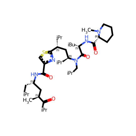 CCC(C)[C@H](NC(=O)[C@H]1CCCCN1C)C(=O)N(CC(C)C)[C@H](C[C@H](c1nc(C(=O)N[C@@H](CC(C)C)C[C@H](C)C(=O)C(C)C)cs1)C(C)C)C(C)C